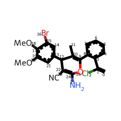 C=C(Cl)c1ccccc1C1=C(C)C(c2cc(Br)c(OC)c(OC)c2)C(C#N)=C(N)O1